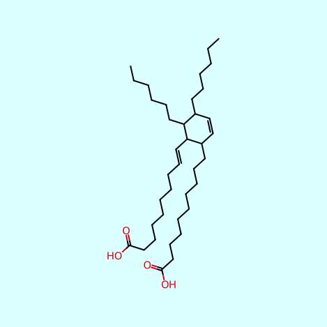 CCCCCCC1C=CC(CCCCCCCCCC(=O)O)C(/C=C/CCCCCCCC(=O)O)C1CCCCCC